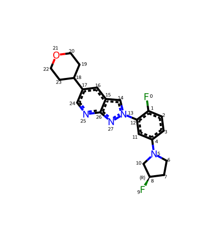 Fc1ccc(N2CC[C@@H](F)C2)cc1-n1cc2cc(C3CCOCC3)cnc2n1